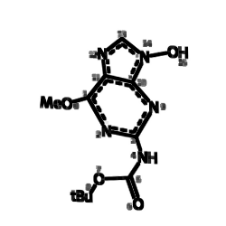 COc1nc(NC(=O)OC(C)(C)C)nc2c1ncn2O